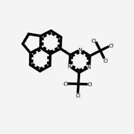 ClC(Cl)(Cl)c1nc(-c2ccc3c4c(cccc24)CC3)nc(C(Cl)(Cl)Cl)n1